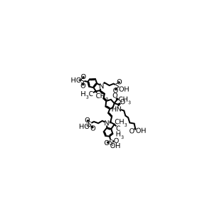 CC(=O)C1(C(=O)NCCCCCC(=O)O)CC(/C=C/C2=[N+](CCCS(=O)(=O)O)c3ccc(S(=O)(=O)O)cc3C2(C)C)=CC(=C/C=C2/N(CCCS(=O)(=O)O)c3ccc(S(=O)(=O)O)cc3C2(C)C)/C1